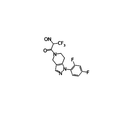 O=NC(C(=O)N1CCc2c(cnn2-c2ccc(F)cc2F)C1)C(F)(F)F